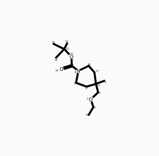 CCOCC1(C)CCN(C(=O)OC(C)(C)C)CC1